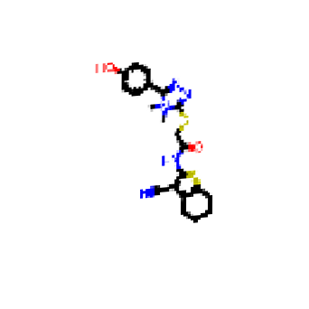 C[N+]1(C)C(SCC(=O)Nc2sc3c(c2C#N)CCCC3)=NN=C1c1ccc(O)cc1